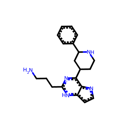 NCCCc1nc(C2CCNC(c3ccccc3)C2)c2nccc-2[nH]1